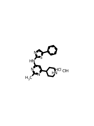 Cc1nc(Nc2ncc(-c3ccccc3)s2)cc(C2CCNCC2)n1.Cl.Cl